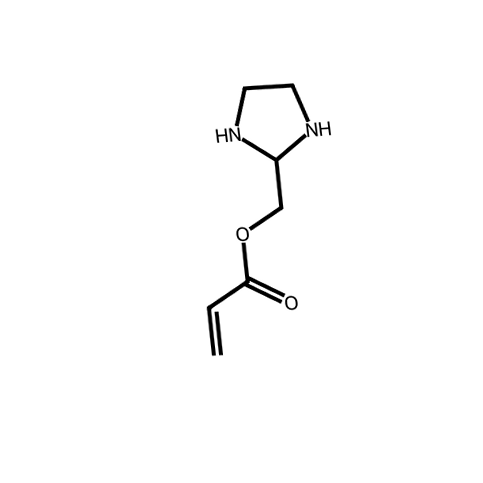 C=CC(=O)OCC1NCCN1